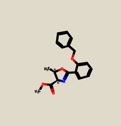 COC(=O)[C@@H]1N=C(c2ccccc2OCc2ccccc2)O[C@@H]1C